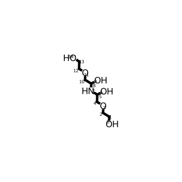 OCCOCC(O)NC(O)COCCO